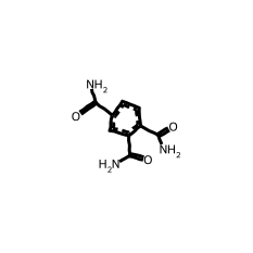 NC(=O)c1ccc(C(N)=O)c(C(N)=O)c1